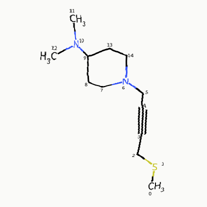 CSCC#CCN1CCC(N(C)C)CC1